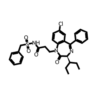 CCC(CC)[C@@H]1N=C(c2ccccc2)c2cc(Cl)ccc2N(CCC(=O)NS(=O)(=O)Cc2ccccc2)C1=O